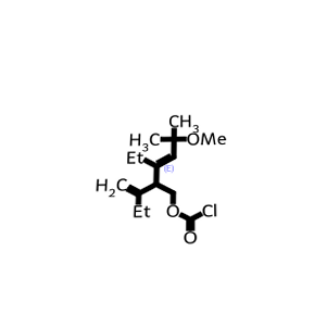 C=C(CC)C(COC(=O)Cl)/C(=C/C(C)(C)OC)CC